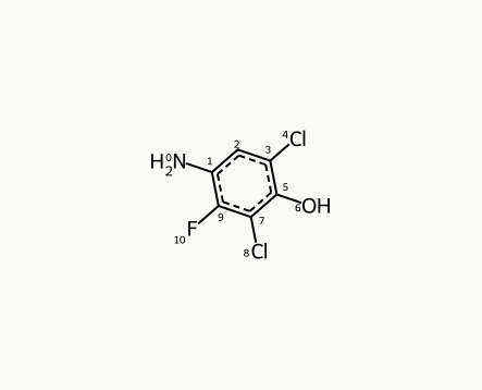 Nc1cc(Cl)c(O)c(Cl)c1F